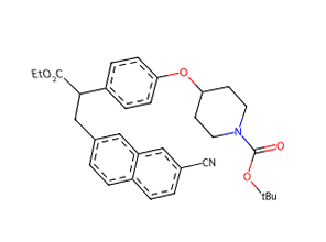 CCOC(=O)C(Cc1ccc2ccc(C#N)cc2c1)c1ccc(OC2CCN(C(=O)OC(C)(C)C)CC2)cc1